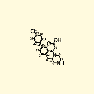 O=C(O)CCN1CCNCC1Cc1ccc(-c2ccc(Cl)cc2)cc1